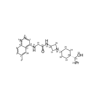 Cc1ccc2nncc(NCC(=O)NC3CN([C@H]4CC[C@@H](C(O)C(C)C)CC4)C3)c2c1